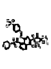 CC(C)(C)NS(=O)(=O)c1cc(/N=N/c2ccc(S(=O)(=O)Cl)cc2)c2c(NS(=O)(=O)N3CCOCC3)cccc2c1O